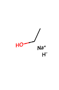 CCO.[H-].[Na+]